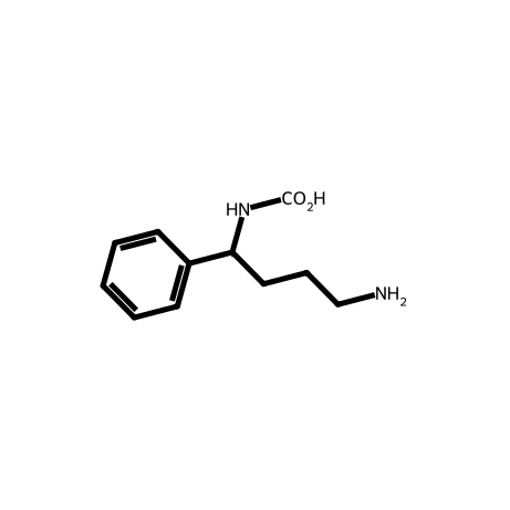 NCCC[C](NC(=O)O)c1ccccc1